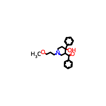 COCCCN1CCC(O)(c2ccccc2)C(C(=O)c2ccccc2)C1